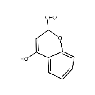 O=CC1C=C(O)c2ccccc2O1